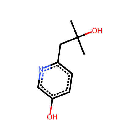 CC(C)(O)Cc1ccc(O)cn1